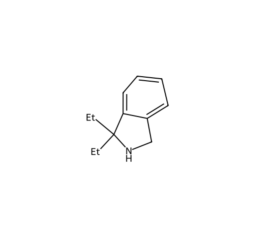 CCC1(CC)NCc2ccccc21